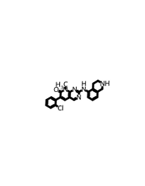 Cn1c(=O)c(-c2ccccc2Cl)cc2cnc(Nc3cccc4c3CCNC4)nc21